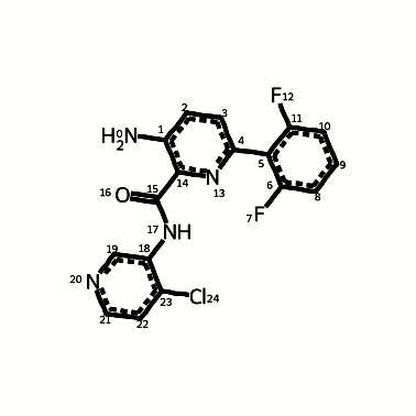 Nc1ccc(-c2c(F)cccc2F)nc1C(=O)Nc1cnccc1Cl